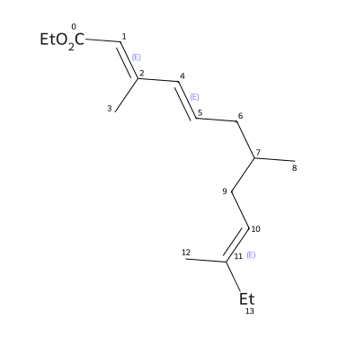 CCOC(=O)/C=C(C)/C=C/CC(C)C/C=C(\C)CC